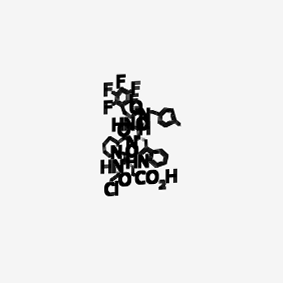 Cc1ccc(CNC(=O)[C@H](Cc2c(F)c(F)c(F)c(F)c2F)NC(=O)[C@H](Cc2c[nH]c3ccccc23)NC(=O)[C@@H]2CCCCN2C(=O)[C@H](CCC(=O)O)NC(=O)CCl)cc1